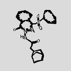 O=C(CC1CC2CCC1C2)Nn1nc(S(=O)(=O)c2ccccc2)c2ccccc2c1=O